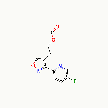 O=COCCc1conc1-c1ccc(F)cn1